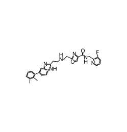 Cc1cccc(-c2ccc3[nH]c(CCNCCc4nc(C(=O)NCc5ncccc5F)co4)nc3c2)c1C